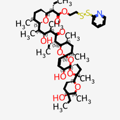 CC[C@H](C(=O)[C@H](C)[C@H](O)[C@@H](C)[C@H]1O[C@H]([C@H](CC)C(=O)OCCSSc2ccccn2)CC[C@H]1C)[C@@H]1O[C@@]2(C=C[C@H](O)[C@@]3(CC[C@](C)([C@@H]4CC[C@@](O)(CC)[C@@H](C)O4)O3)O2)[C@@H](C)C[C@H]1C